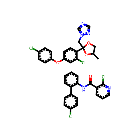 CC1COC(Cn2cncn2)(c2ccc(Oc3ccc(Cl)cc3)cc2Cl)O1.O=C(Nc1ccccc1-c1ccc(Cl)cc1)c1cccnc1Cl